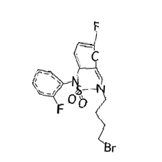 O=S1(=O)N(CCCCBr)C=C2CC(F)=CC=C2N1c1ccccc1F